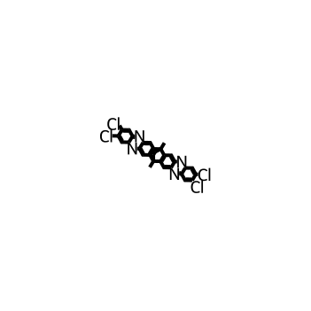 CC12CCC(C)(c3cc4nc5cc(Cl)c(Cl)cc5nc4cc31)c1cc3nc4cc(Cl)c(Cl)cc4nc3cc12